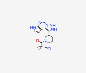 N#CC1(C(=O)N2CCC[C@H](C3=C4c5cc[nH]c5N=CN4NN3)C2)CC1